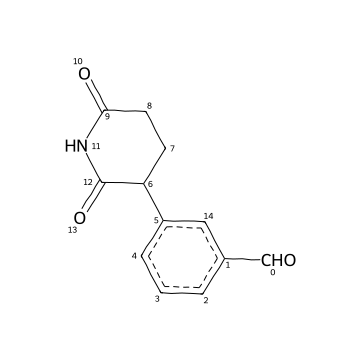 O=Cc1cccc(C2CCC(=O)NC2=O)c1